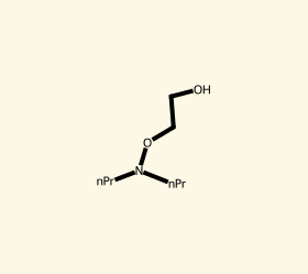 CCCN(CCC)OCCO